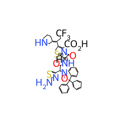 Nc1nc(C(=NOC(c2ccccc2)(c2ccccc2)c2ccccc2)C(=O)N[C@@H]2C(=O)N3C(C(=O)O)=C(C(CC(F)(F)F)=C4CCCNC4)CS[C@H]23)cs1